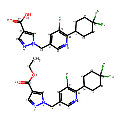 CCOC(=O)c1cnn(Cc2cnc(C3CCC(F)(F)CC3)c(F)c2)c1.O=C(O)c1cnn(Cc2cnc(C3CCC(F)(F)CC3)c(F)c2)c1